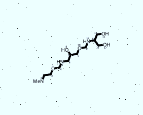 CNCCOCNCC(O)COCNC(CO)CO